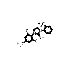 Cc1cc(C)c(N2CCN(c3ccccc3C)C2=N)c(C)c1